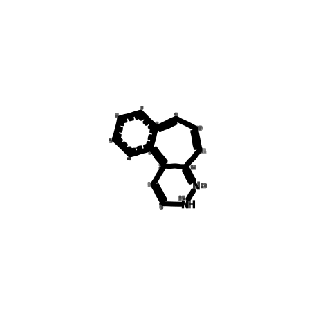 [C]1=CC2=c3ccccc3=CC=CC2=NN1